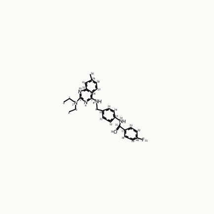 CCN(CC)c1nc(NCc2ccc(NC(=O)c3ccc(F)cc3)cc2)c2ccc(C)cc2n1